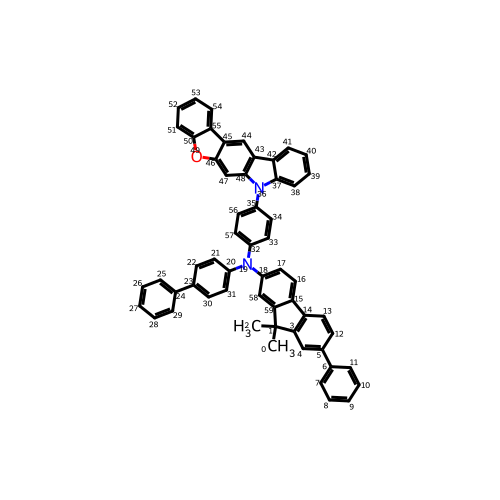 CC1(C)c2cc(-c3ccccc3)ccc2-c2ccc(N(c3ccc(-c4ccccc4)cc3)c3ccc(-n4c5ccccc5c5cc6c(cc54)oc4ccccc46)cc3)cc21